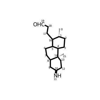 C[C@@H]1CCC2C(CCC3CC(=N)CC[C@@]32C)C1CCC=O